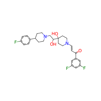 O=C(C=CN1CCC(O)(C(O)CN2CCC(c3ccc(F)cc3)CC2)CC1)c1cc(F)cc(F)c1